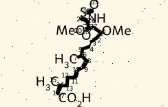 COC1C[C@@H](CCC(C)/C=C\C=C\CC/C(C)=C\C(=O)O)OC(OC)(c2csc(=O)[nH]2)C1